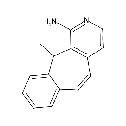 CC1c2ccccc2C=Cc2ccnc(N)c21